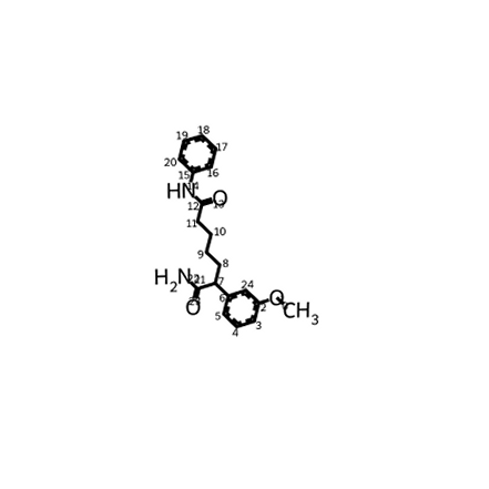 COc1cccc(C(CCCCC(=O)Nc2ccccc2)C(N)=O)c1